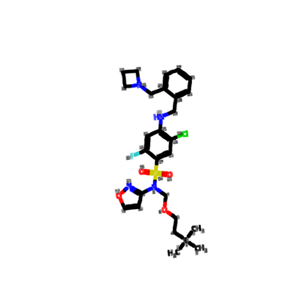 C[Si](C)(C)CCOCN(c1ccon1)S(=O)(=O)c1cc(Cl)c(NCc2ccccc2CN2CCC2)cc1F